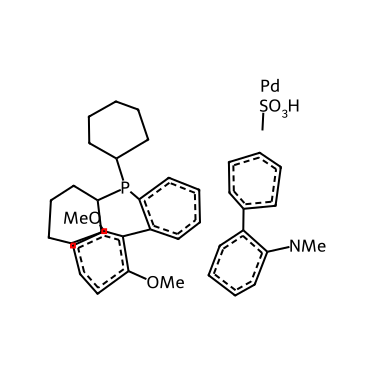 CNc1ccccc1-c1ccccc1.COc1cccc(OC)c1-c1ccccc1P(C1CCCCC1)C1CCCCC1.CS(=O)(=O)O.[Pd]